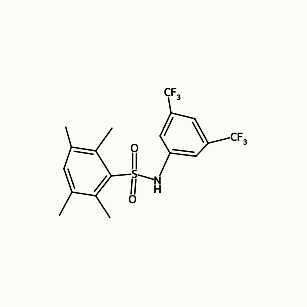 Cc1cc(C)c(C)c(S(=O)(=O)Nc2cc(C(F)(F)F)cc(C(F)(F)F)c2)c1C